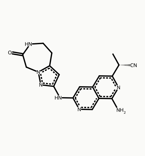 C[C@H](C#N)c1cc2cc(Nc3cc4n(n3)CC(=O)NCC4)ncc2c(N)n1